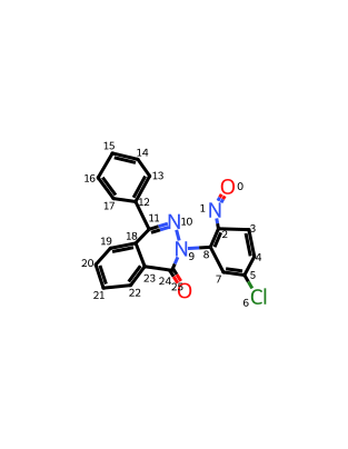 O=Nc1ccc(Cl)cc1-n1nc(-c2ccccc2)c2ccccc2c1=O